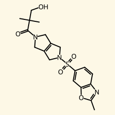 Cc1nc2ccc(S(=O)(=O)N3CC4=C(CN(C(=O)C(C)(C)CO)C4)C3)cc2o1